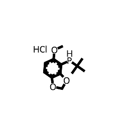 COc1ccc2c(c1PC(C)(C)C)OCO2.Cl